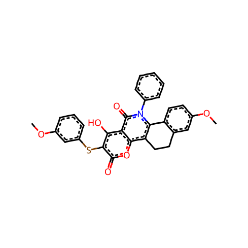 COc1cccc(Sc2c(O)c3c(=O)n(-c4ccccc4)c4c(c3oc2=O)CCc2cc(OC)ccc2-4)c1